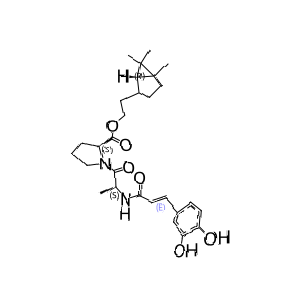 C[C@H](NC(=O)/C=C/c1ccc(O)c(O)c1)C(=O)N1CCC[C@H]1C(=O)OCCC1CCC2(C)[C@H]1C2(C)C